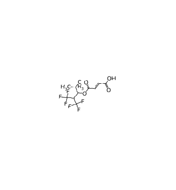 CC(C)C(OC(=O)C=CC(=O)O)C(C(F)(F)F)C(F)(F)F